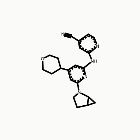 N#Cc1ccnc(Nc2cc(C3CCOCC3)cc(N3CCC4CC43)n2)c1